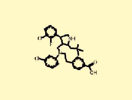 CC(C)(C)CC1NCC(c2cccc(Cl)c2F)C1CN(CCc1ccc(C(=O)O)cc1)c1cccc(Cl)c1